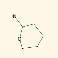 [N]C1CCCCO1